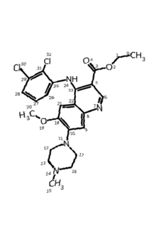 CCOC(=O)c1cnc2cc(N3CCN(C)CC3)c(OC)cc2c1Nc1cccc(Cl)c1Cl